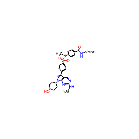 CCCCCNC(=O)c1ccc(N(C)S(=O)(=O)c2ccc(-c3nn([C@H]4CC[C@H](O)CC4)c4nc(NCCCC)ncc34)cc2)cc1